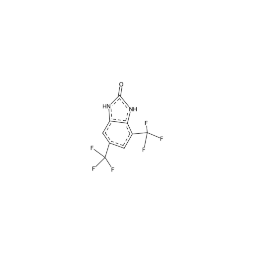 O=c1[nH]c2cc(C(F)(F)F)cc(C(F)(F)F)c2[nH]1